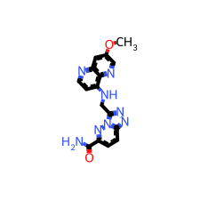 COc1cnc2c(NCc3nnc4ccc(C(N)=O)nn34)ccnc2c1